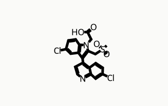 CS(=O)(=O)Cc1c(-c2ccnc3cc(Cl)ccc23)c2cc(Cl)ccc2n1CC(=O)O